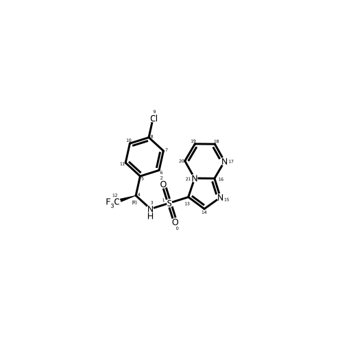 O=S(=O)(N[C@H](c1ccc(Cl)cc1)C(F)(F)F)c1cnc2ncccn12